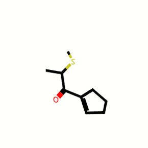 CSC(C)C(=O)C1=CCCC1